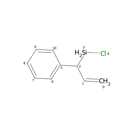 C=CC([SiH2]Cl)c1ccccc1